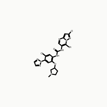 CC(C)c1c(NC(=O)Nc2cc(Cl)c(-n3nccn3)cc2OC2CCN(C)C2)cnc2cc(Cl)nn12